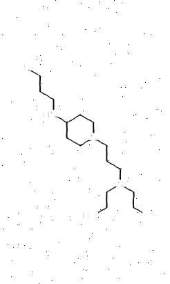 NCCCNC1CCN(CCCN(CCO)CCO)CC1